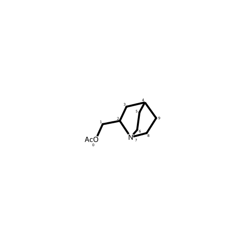 CC(=O)OCC1CC2CCN1CC2